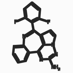 Nc1nc2c3c(ccn3n1)C(c1c(F)cccc1F)=Nc1ccccc1-2